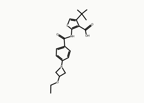 CCOC1CN(c2ccc(C(=O)Nc3scc(C(C)(C)C)c3C(=O)O)cc2)C1